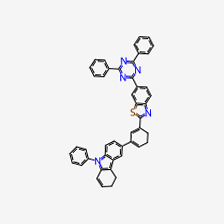 C1=Cc2c(c3cc(C4=CCCC(c5nc6ccc(-c7nc(-c8ccccc8)nc(-c8ccccc8)n7)cc6s5)=C4)ccc3n2-c2ccccc2)CC1